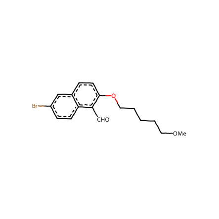 COCCCCCOc1ccc2cc(Br)ccc2c1C=O